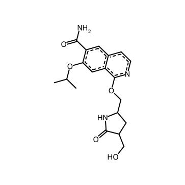 CC(C)Oc1cc2c(OCC3CC(CO)C(=O)N3)nccc2cc1C(N)=O